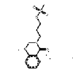 CS(=O)(=O)OCCCN1COc2ccccc2C1=O